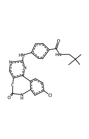 CC(C)(C)CNC(=O)c1ccc(Nc2ncc3c(n2)-c2ccc(Cl)cc2NC(=O)C3)cc1